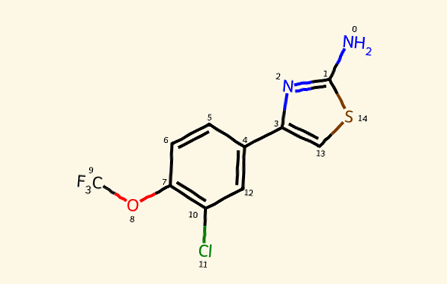 Nc1nc(-c2ccc(OC(F)(F)F)c(Cl)c2)cs1